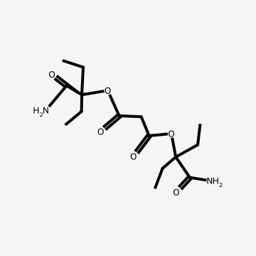 CCC(CC)(OC(=O)CC(=O)OC(CC)(CC)C(N)=O)C(N)=O